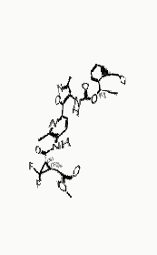 COC(=O)[C@@H]1[C@@H](C(=O)Nc2ccc(-c3onc(C)c3NC(=O)O[C@H](C)c3ccccc3Cl)nc2C)C1(F)F